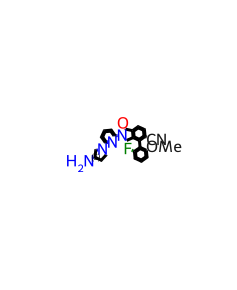 COc1cccc(F)c1-c1c(C#N)ccc2c1CN(c1cccc(N3CC[C@H](N)C3)n1)C2=O